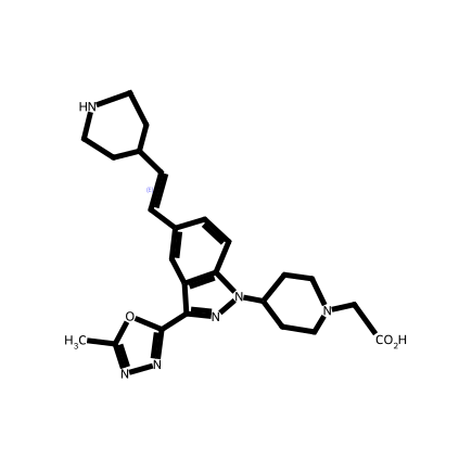 Cc1nnc(-c2nn(C3CCN(CC(=O)O)CC3)c3ccc(/C=C/C4CCNCC4)cc23)o1